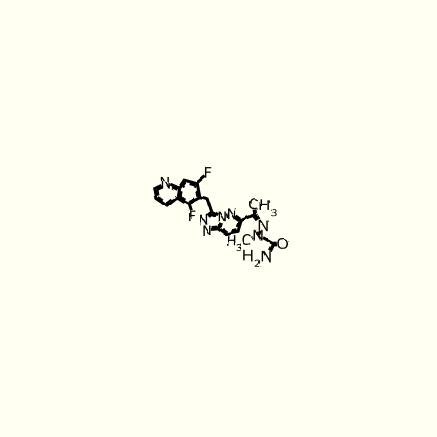 C/C(=N/N(C)C(N)=O)c1ccc2nnc(Cc3c(F)cc4ncccc4c3F)n2n1